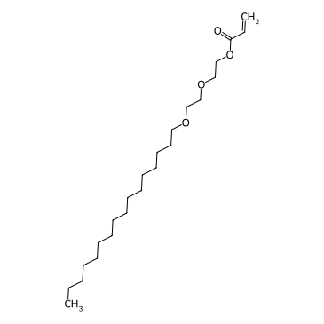 C=CC(=O)OCCOCCOCCCCCCCCCCCCCCCC